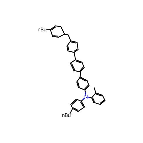 CCCCC1=CCC(Cc2ccc(-c3ccc(-c4ccc(N(c5ccc(CCCC)cc5)c5ccccc5C)cc4)cc3)cc2)C=C1